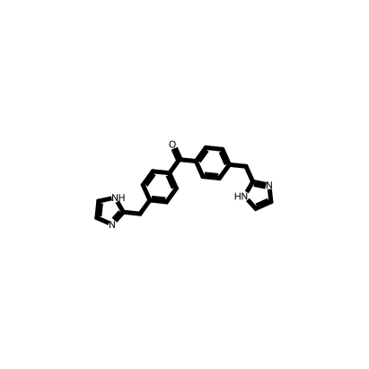 O=C(c1ccc(Cc2ncc[nH]2)cc1)c1ccc(Cc2ncc[nH]2)cc1